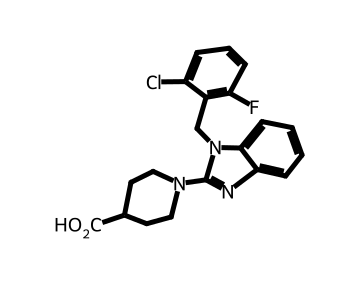 O=C(O)C1CCN(c2nc3ccccc3n2Cc2c(F)cccc2Cl)CC1